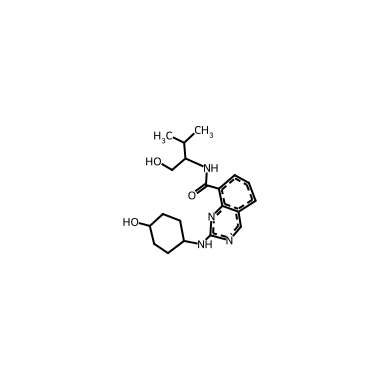 CC(C)C(CO)NC(=O)c1cccc2cnc(NC3CCC(O)CC3)nc12